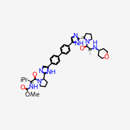 COC(=O)N[C@H](C(=O)N1CCCC1c1ncc(-c2ccc(-c3ccc(-c4cnc([C@@H]5CCCN5C(=O)[C@@H](C)NC5CCOCC5)[nH]4)cc3)cc2)[nH]1)C(C)C